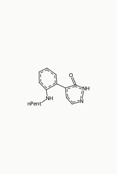 CCCCCNc1ccccc1-c1ccn[nH]c1=O